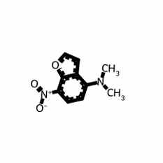 CN(C)c1ccc([N+](=O)[O-])c2occc12